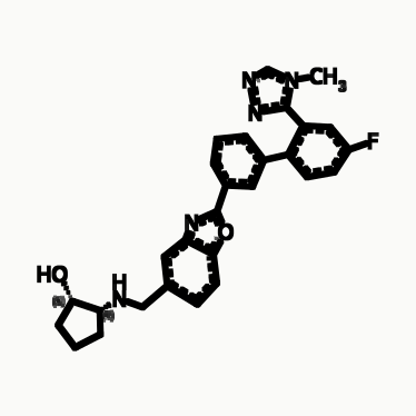 Cn1cnnc1-c1cc(F)ccc1-c1cccc(-c2nc3cc(CN[C@@H]4CCC[C@@H]4O)ccc3o2)c1